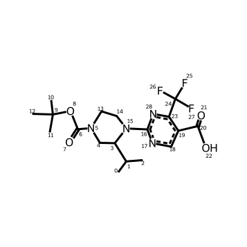 CC(C)C1CN(C(=O)OC(C)(C)C)CCN1c1ncc(C(=O)O)c(C(F)(F)F)n1